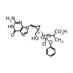 CC(NP(=O)(OC[C@@]1(CO)C/C1=C/n1cnc2c(=O)[nH]c(N)nc21)Oc1ccccc1)C(=O)O